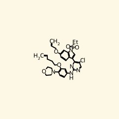 C=CCCCOc1cc(Nc2ncc(Cl)c(-c3cn(S(=O)(=O)CC)c4cc(OCC=C)ccc34)n2)ccc1N1CCOCC1